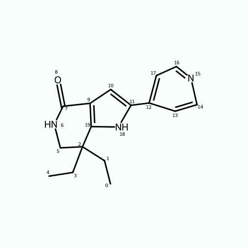 CCC1(CC)CNC(=O)c2cc(-c3ccncc3)[nH]c21